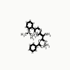 C=C(OC(=N\N)/C(N)=C(N)/N=C\C(=C)c1ccccc1N(C)C)c1ccccc1